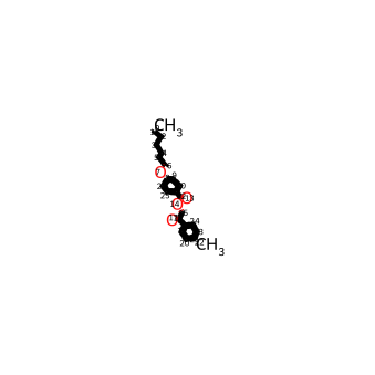 CCCCCCCOc1ccc(C(=O)OCC(=O)c2ccc(C)cc2)cc1